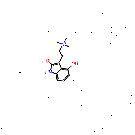 C[N+](C)(C)CCc1c(O)[nH]c2cccc(O)c12